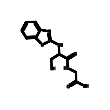 O=C(O)CNC(=O)C(CS)Nc1nc2ccccc2o1